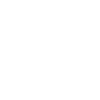 O=C(O)c1cc(F)c(F)s1